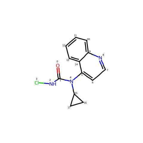 O=C(NCl)N(c1ccnc2ccccc12)C1CC1